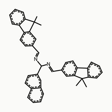 CC1(C)c2ccccc2-c2ccc(/C=N/C(/N=C/c3ccc4c(c3)C(C)(C)c3ccccc3-4)c3ccc4ccccc4c3)cc21